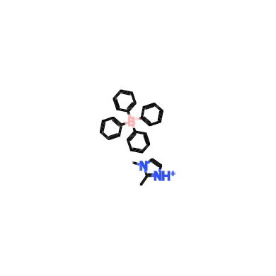 Cc1[nH+]ccn1C.c1ccc([B-](c2ccccc2)(c2ccccc2)c2ccccc2)cc1